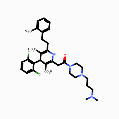 COc1ccccc1CCC1=C(C(=O)O)C(c2c(Cl)cccc2Cl)C(C(=O)O)=C(CC(=O)N2CCN(CCCN(C)C)CC2)N1